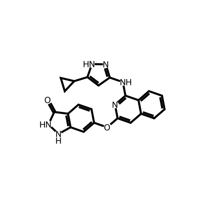 O=c1[nH][nH]c2cc(Oc3cc4ccccc4c(Nc4cc(C5CC5)[nH]n4)n3)ccc12